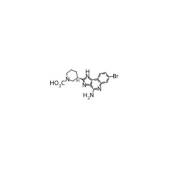 Nc1nc2cc(Br)ccc2c2[nH]c([C@@H]3CCCN(C(=O)O)C3)nc12